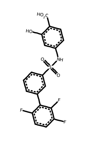 O=C(O)c1ccc(NS(=O)(=O)c2cccc(-c3c(F)ccc(F)c3F)c2)cc1O